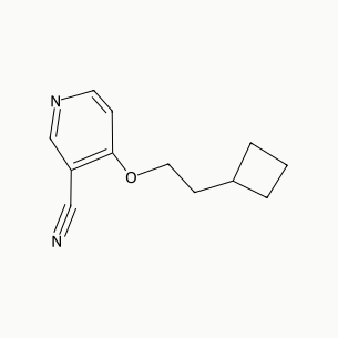 N#Cc1cnccc1OCCC1CCC1